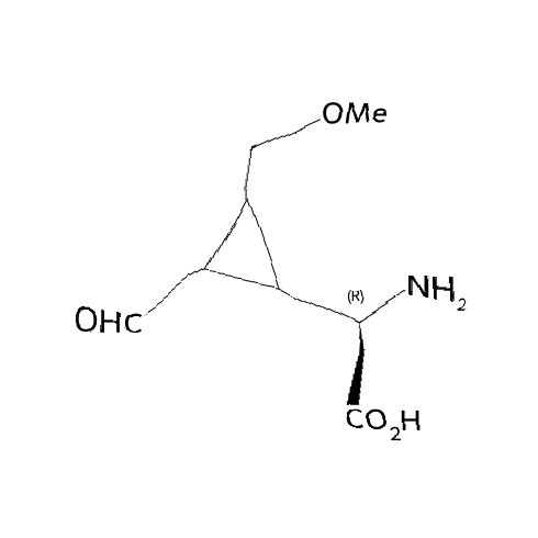 COCC1C(C=O)C1[C@@H](N)C(=O)O